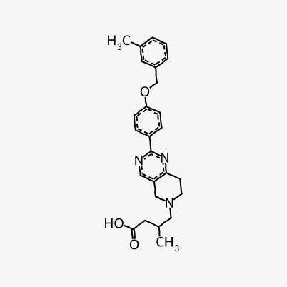 Cc1cccc(COc2ccc(-c3ncc4c(n3)CCN(CC(C)CC(=O)O)C4)cc2)c1